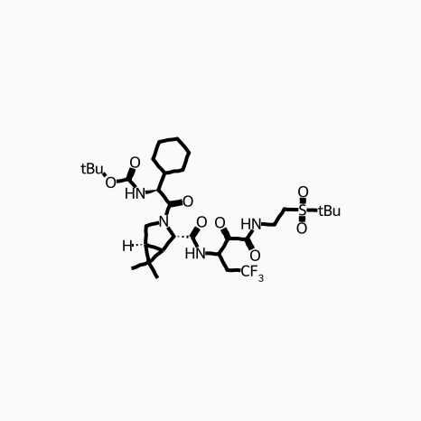 CC(C)(C)OC(=O)N[C@H](C(=O)N1C[C@H]2C([C@H]1C(=O)NC(CC(F)(F)F)C(=O)C(=O)NCCS(=O)(=O)C(C)(C)C)C2(C)C)C1CCCCC1